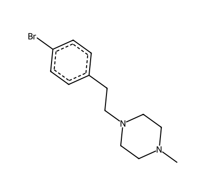 CN1CCN(CCc2ccc(Br)cc2)CC1